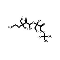 CCOC(C)(CC)C(=O)C(C)OC(C)(CC)C(=O)COC(C)(C)C